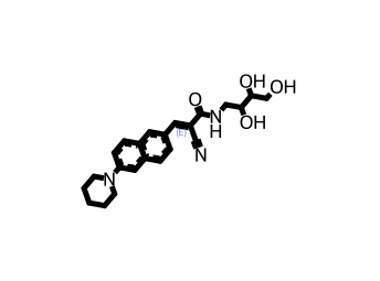 N#C/C(=C\c1ccc2cc(N3CCCCC3)ccc2c1)C(=O)NCC(O)C(O)CO